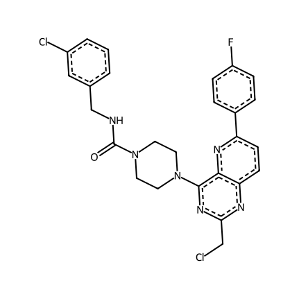 O=C(NCc1cccc(Cl)c1)N1CCN(c2nc(CCl)nc3ccc(-c4ccc(F)cc4)nc23)CC1